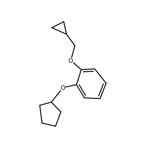 [c]1ccc(OC2CCCC2)c(OCC2CC2)c1